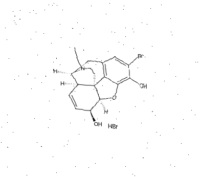 Br.CN1CC[C@]23c4c5cc(Br)c(O)c4O[C@H]2[C@@H](O)C=C[C@H]3[C@H]1C5